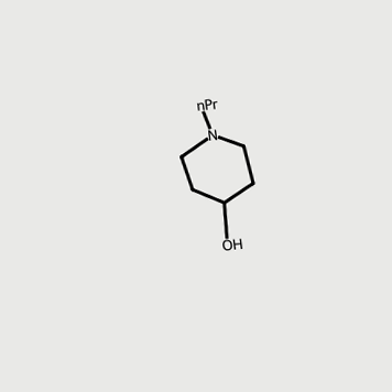 [CH2]CCN1CCC(O)CC1